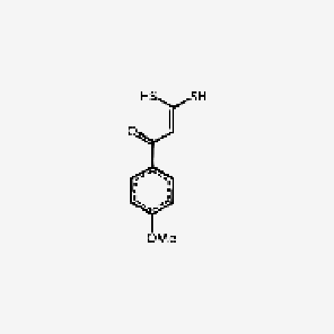 COc1ccc(C(=O)C=C(S)S)cc1